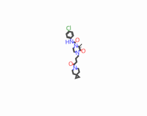 C[C@H]1C(=O)N(CCCC(=O)N2CCC3(CC2)CC3)CCN1C(=O)Nc1ccc(Cl)cc1